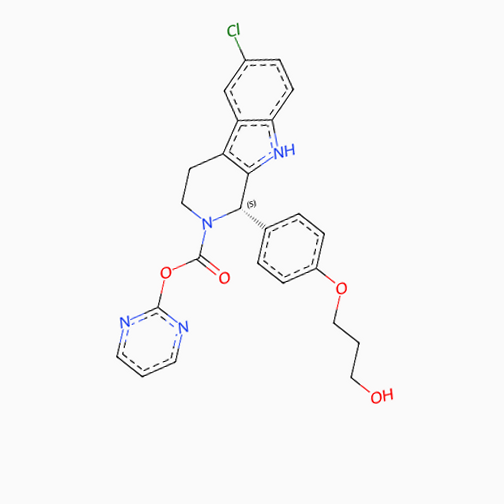 O=C(Oc1ncccn1)N1CCc2c([nH]c3ccc(Cl)cc23)[C@@H]1c1ccc(OCCCO)cc1